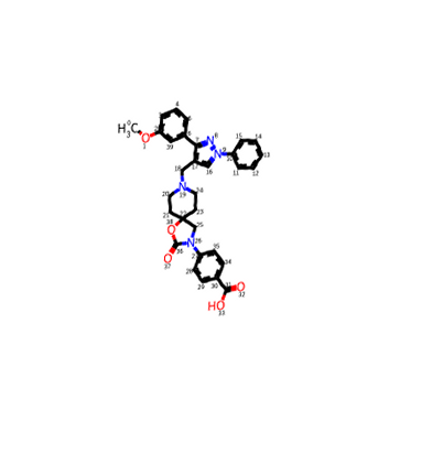 COc1cccc(-c2nn(-c3ccccc3)cc2CN2CCC3(CC2)CN(c2ccc(C(=O)O)cc2)C(=O)O3)c1